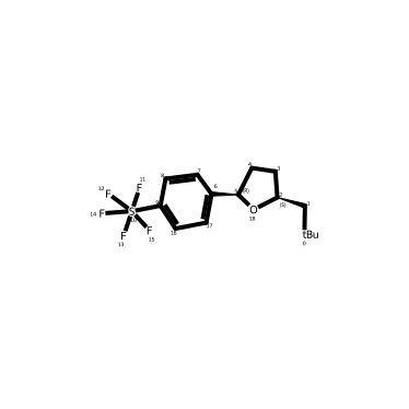 CC(C)(C)C[C@@H]1CC[C@H](c2ccc(S(F)(F)(F)(F)F)cc2)O1